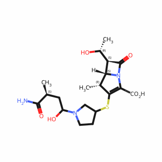 C[C@@H](CC(O)N1CCC(SC2=C(C(=O)O)N3C(=O)[C@H]([C@@H](C)O)[C@H]3[C@H]2C)C1)C(N)=O